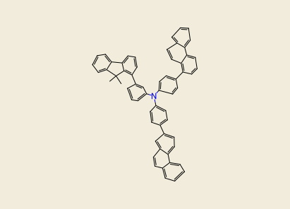 CC1(C)c2ccccc2-c2cccc(-c3cccc(N(c4ccc(-c5ccc6c(ccc7ccccc76)c5)cc4)c4ccc(-c5cccc6c5ccc5ccccc56)cc4)c3)c21